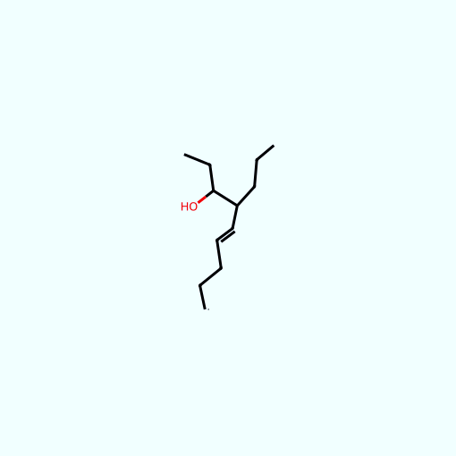 [CH2]CCC=CC(CCC)C(O)CC